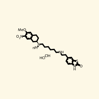 CCCN(CCCCCCNCCc1ccc2[nH]c(=O)sc2c1)[C@@H]1CCc2cc(OC)c([N+](=O)[O-])cc2C1.Cl.Cl